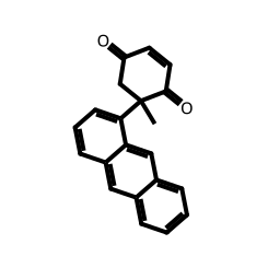 CC1(c2cccc3cc4ccccc4cc23)CC(=O)C=CC1=O